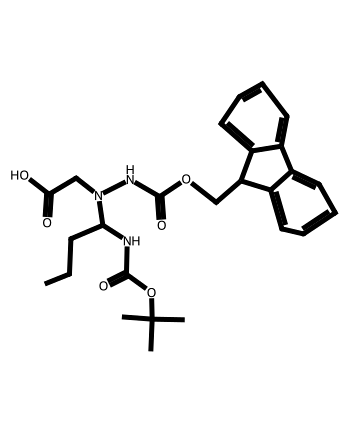 CCCC(NC(=O)OC(C)(C)C)N(CC(=O)O)NC(=O)OCC1c2ccccc2-c2ccccc21